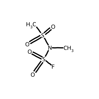 CN(S(C)(=O)=O)S(=O)(=O)F